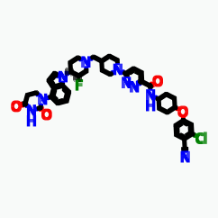 N#Cc1ccc(OC2CCC(NC(=O)c3ccc(N4CCC(CN5CC[C@H](n6ccc7c(N8CCC(=O)NC8=O)cccc76)[C@H](F)C5)CC4)nn3)CC2)cc1Cl